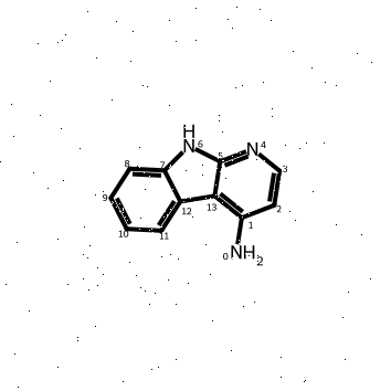 Nc1ccnc2[nH]c3ccccc3c12